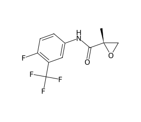 C[C@@]1(C(=O)Nc2ccc(F)c(C(F)(F)F)c2)CO1